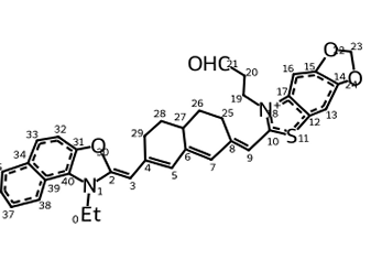 CCN1/C(=C/C2=CC3=C/C(=C/c4sc5cc6c(cc5[n+]4CCC=O)OCO6)CCC3CC2)Oc2ccc3ccccc3c21